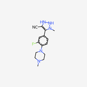 CN1CCN(c2ccc(C3=C(C#N)NNN3C)cc2F)CC1